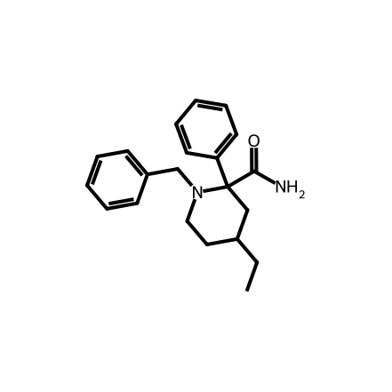 CCC1CCN(Cc2ccccc2)C(C(N)=O)(c2ccccc2)C1